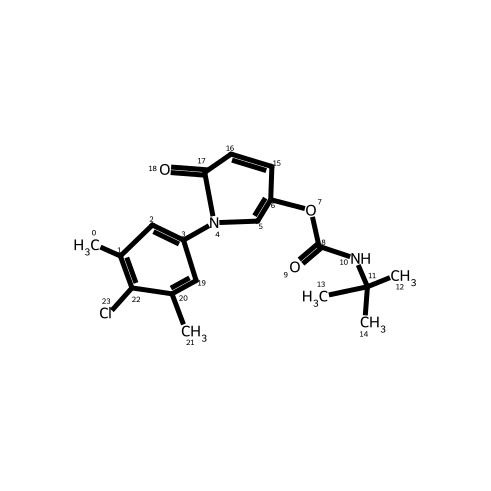 Cc1cc(-n2cc(OC(=O)NC(C)(C)C)ccc2=O)cc(C)c1Cl